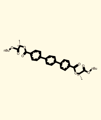 CCCCOC(=O)[C@H](C)OC(=O)c1ccc(-c2ccc(-c3ccc(C(=O)O[C@@H](C)C(=O)OCCCC)cc3)cc2)cc1